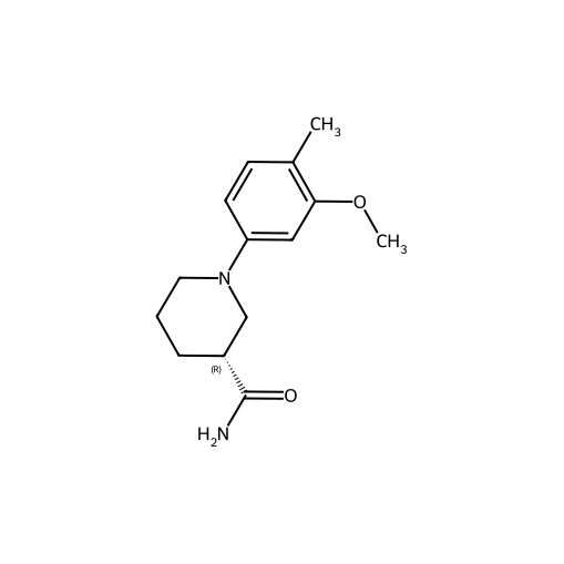 COc1cc(N2CCC[C@@H](C(N)=O)C2)ccc1C